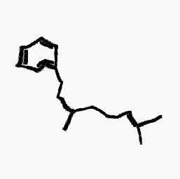 CC(C)=CCCC(C)CCc1ccccc1